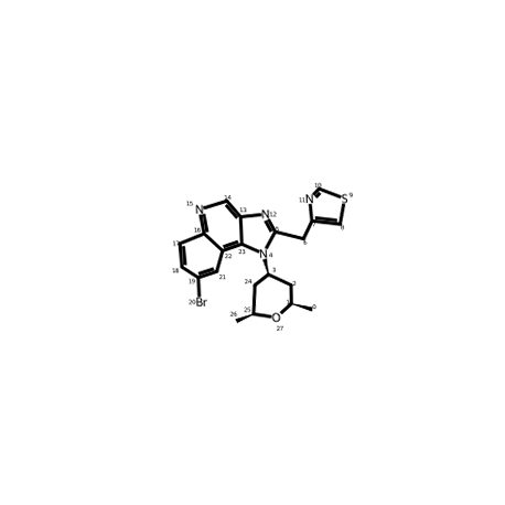 C[C@@H]1C[C@H](n2c(Cc3cscn3)nc3cnc4ccc(Br)cc4c32)C[C@H](C)O1